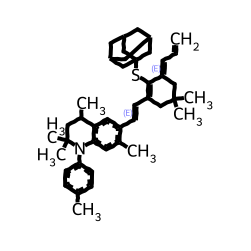 C=C/C=C1\CC(C)(C)CC(/C=C/c2cc3c(cc2C)N(c2ccc(C)cc2)C(C)(C)CC3C)=C1SC12CC3CC(CC(C3)C1)C2